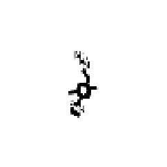 Cc1cc(-c2nccs2)c(C)cc1CCN=[N+]=[N-]